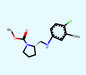 COc1cc(NC[C@@H]2CCCN2C(=O)OC(C)(C)C)ccc1Cl